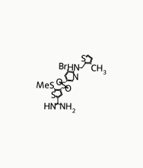 CSc1sc(C(=N)N)cc1S(=O)(=O)c1cnc(NCc2sccc2C)c(Br)c1